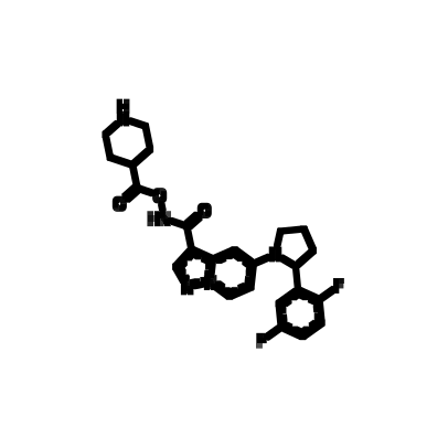 O=C(NOC(=O)C1CCNCC1)c1cnn2ccc(N3CCCC3c3cc(F)ccc3F)cc12